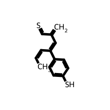 C=C(C=S)/C=C(\C=C/C)c1ccc(S)cc1